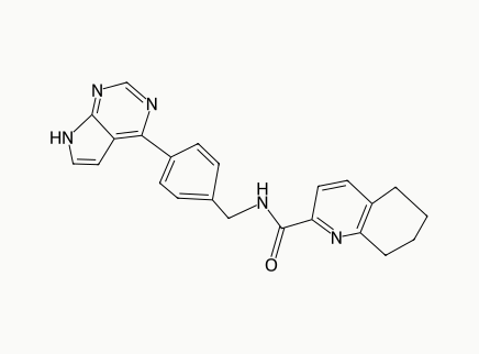 O=C(NCc1ccc(-c2ncnc3[nH]ccc23)cc1)c1ccc2c(n1)CCCC2